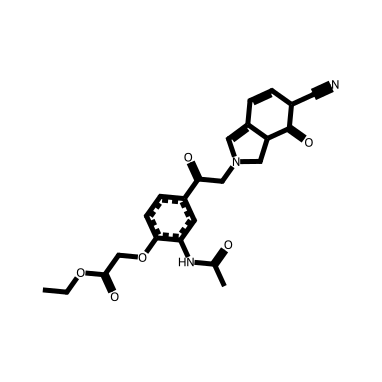 CCOC(=O)COc1ccc(C(=O)CN2C=C3C=CC(C#N)C(=O)C3C2)cc1NC(C)=O